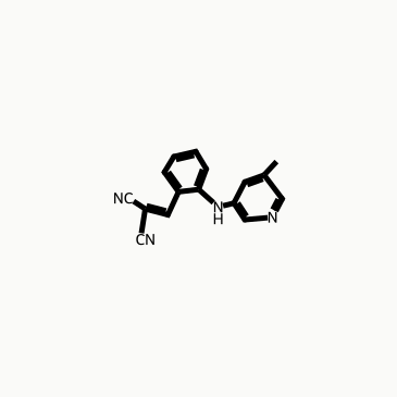 Cc1cncc(Nc2ccccc2C=C(C#N)C#N)c1